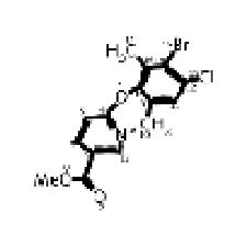 COC(=O)c1ccc(Oc2c(C)cc(Cl)c(Br)c2C)nc1